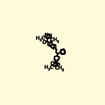 Cc1ncnc(C)c1C(=O)N1CC2=CN(CCC(c3ccccc3)C3CCN(S(=O)(=O)C(C)C)CC3)CC2C1